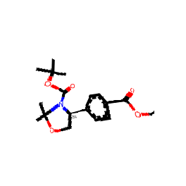 COC(=O)c1ccc([C@H]2COC(C)(C)N2C(=O)OC(C)(C)C)cc1